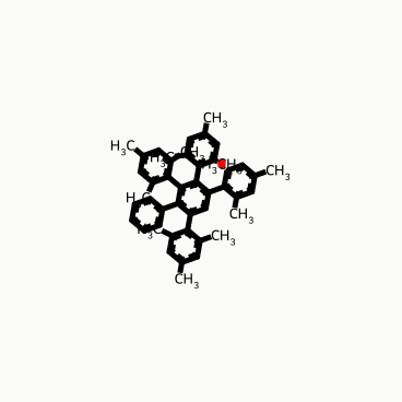 Cc1cc(C)c(-c2cc(-c3c(C)cc(C)cc3C)c(-c3c(C)cc(C)cc3C)c(-c3c(C)cc(C)cc3C)c2-c2ccccc2)c(C)c1